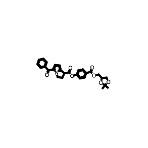 CC1(C)OCC(COC(=O)c2ccc(OC(=O)C3CCn4c(C(=O)c5ccccc5)ccc43)cc2)O1